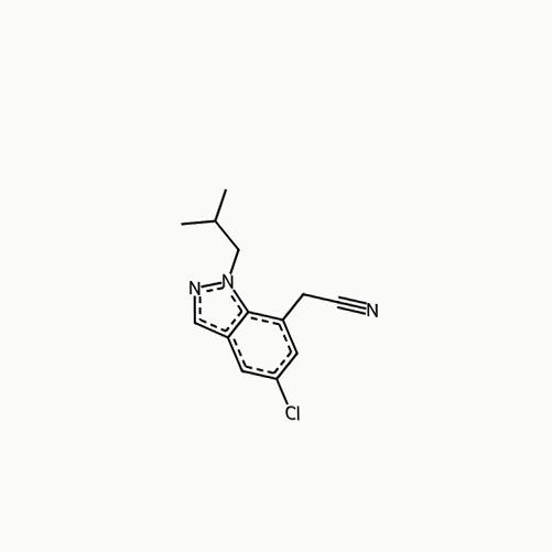 CC(C)Cn1ncc2cc(Cl)cc(CC#N)c21